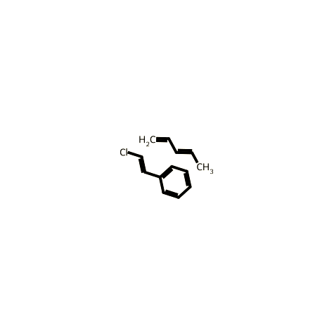 C=CC=CC.ClC=Cc1ccccc1